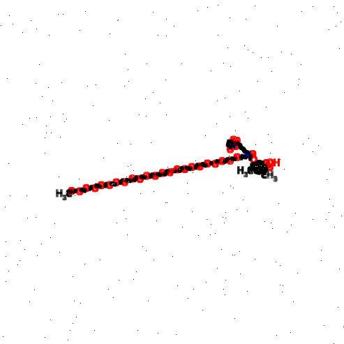 COCCOCCOCCOCCOCCOCCOCCOCCOCCOCCOCCOCCOCCOCCOCCOCCOCCOCCOCCOCCOCCOCCOCCCN(CCCCCC(=O)ON1C(=O)CCC1=O)C(=O)COC1=CC(C)=C2C=CC3=C(C)C=C(S(=O)(=O)O)C4=CC=C1C2C43